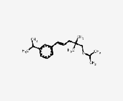 CC(C)OCC(C)(C)C/C=C/c1cccc(C(C)C)c1